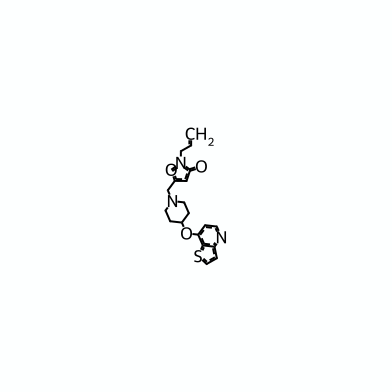 C=CCn1oc(CN2CCC(Oc3ccnc4ccsc34)CC2)cc1=O